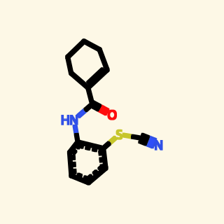 N#CSc1ccccc1NC(=O)C1=CCCCC1